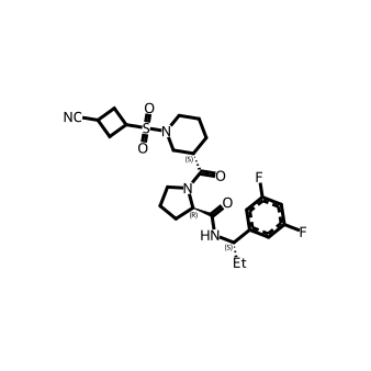 CC[C@H](NC(=O)[C@H]1CCCN1C(=O)[C@H]1CCCN(S(=O)(=O)C2CC(C#N)C2)C1)c1cc(F)cc(F)c1